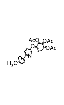 CC(=O)O[C@@H]1[C@@H](OC(C)=O)[C@H](OC(C)=O)CS[C@H]1Oc1ccc(-c2ccc(C)o2)nc1